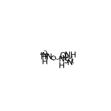 CC[C@@H](CNc1ccc(CCNC(=O)c2sc3nc(C)cc(C)c3c2NC)cc1)NC1CC1